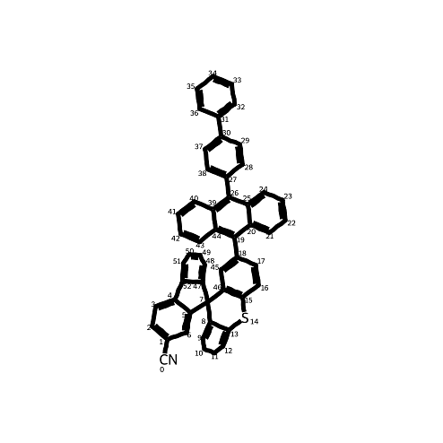 N#Cc1ccc2c(c1)C1(C3=CCCC=C3Sc3ccc(-c4c5ccccc5c(-c5ccc(-c6ccccc6)cc5)c5ccccc45)cc31)c1ccccc1-2